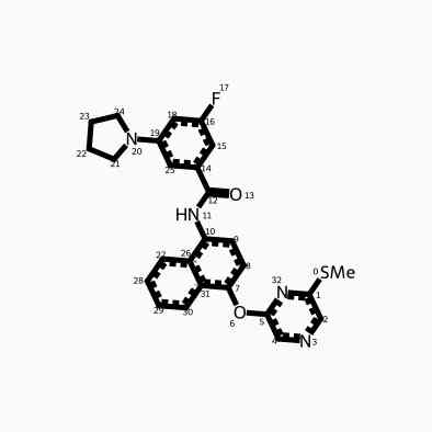 CSc1cncc(Oc2ccc(NC(=O)c3cc(F)cc(N4CCCC4)c3)c3ccccc23)n1